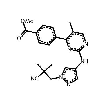 COC(=O)c1ccc(-c2nc(Nc3cnn(CC(C)(C)C#N)c3)ncc2C)cc1